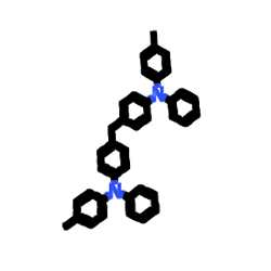 Cc1ccc(N(c2ccccc2)c2ccc(Cc3ccc(N(c4ccccc4)c4ccc(C)cc4)cc3)cc2)cc1